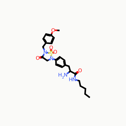 CCCCCNC(=O)C(N)Cc1ccc(N2CC(=O)N(Cc3ccc(OC)cc3)S2(=O)=O)cc1